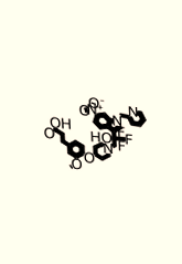 COc1cc(CCC(=O)O)ccc1OC1CCN(CC(O)(c2cn(Cc3ccccn3)c3cc([N+](=O)[O-])ccc23)C(F)(F)F)CC1